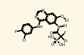 CCOc1cc2ncnc(Nc3ccc(F)c(Cl)c3)c2cc1N(CC)C(=O)C(F)(CC)P(=O)(O)O